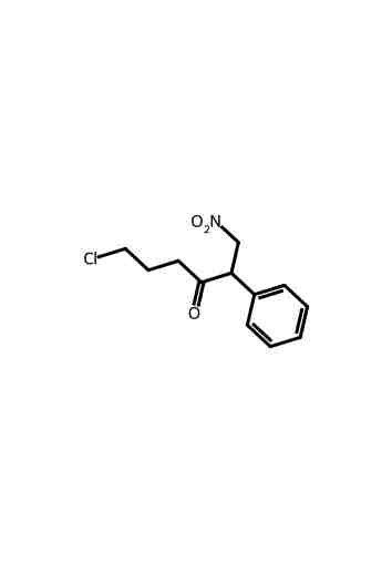 O=C(CCCCl)C(C[N+](=O)[O-])c1ccccc1